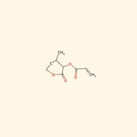 C=CC(=O)OC1C(=O)OCCC1C